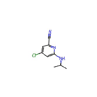 CC(C)Nc1cc(Cl)cc(C#N)n1